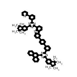 CC1(C)CC(C)(C)c2cc(-c3nc(-c4cccc(-c5ccc(-c6ccc7sc8c(-c9nc(-c%10cccc(-c%11ccccn%11)c%10)nc(-c%10ccc%11c(c%10)C(C)(C)CC%11(C)C)n9)cccc8c7c6)cc5)c4)nc(-c4cc5ccccc5c5ccccc45)n3)ccc21